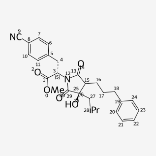 COC(=O)[C@H](Cc1ccc(C#N)cc1)N1C(=O)C(CCCc2ccccc2)[C@](O)(CC(C)C)C1=O